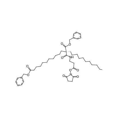 CCCCCCCCCCC[C@@](CCCCCCCCCCC(=O)OCc1ccccc1)(C(=O)NCCC(=O)ON1C(=O)CCC1=O)C(=O)OCc1ccccc1